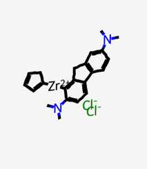 CN(C)c1ccc2c(c1)Cc1c-2ccc(N(C)C)[c]1[Zr+2][C]1=CC=CC1.[Cl-].[Cl-]